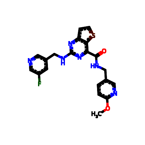 COc1ccc(CNC(=O)c2nc(NCc3cncc(F)c3)nc3ccsc23)cn1